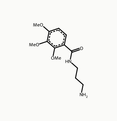 COc1ccc(C(=O)NCCCN)c(OC)c1OC